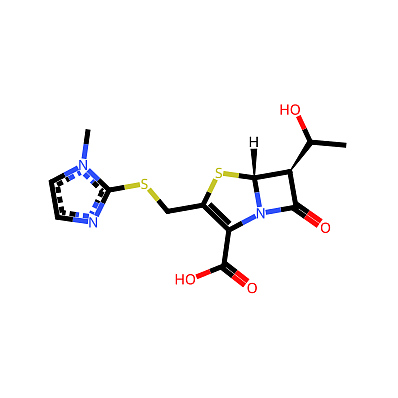 CC(O)[C@H]1C(=O)N2C(C(=O)O)=C(CSc3nccn3C)S[C@H]12